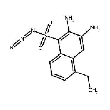 CCc1cccc2c(S(=O)(=O)N=[N+]=[N-])c(N)c(N)cc12